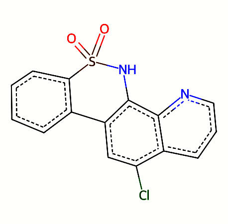 O=S1(=O)Nc2c(cc(Cl)c3cccnc23)-c2ccccc21